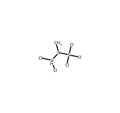 CN([SiH](Cl)Cl)[Si](Cl)(Cl)Cl